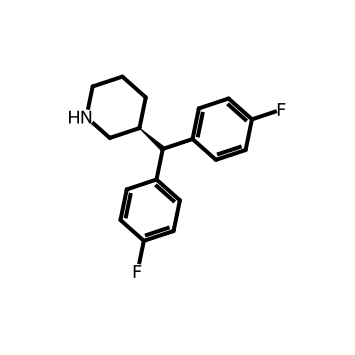 Fc1ccc(C(c2ccc(F)cc2)[C@@H]2CCCNC2)cc1